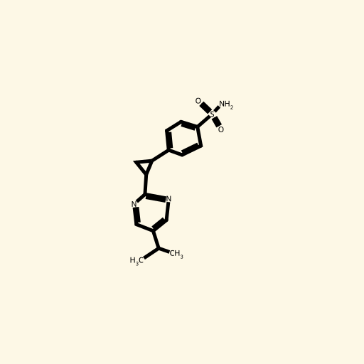 CC(C)c1cnc(C2CC2c2ccc(S(N)(=O)=O)cc2)nc1